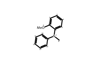 COc1ccccc1N(C)c1ccccc1